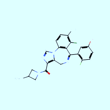 COC1CN(C(=O)c2ncn3c2CN=C(c2cc(O)ccc2F)c2c-3ccc(C)c2Cl)C1